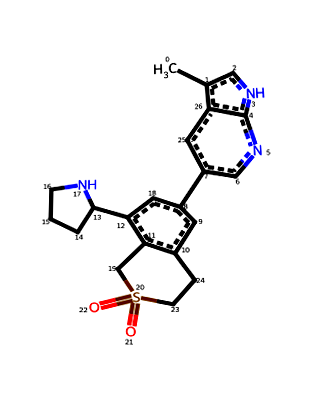 Cc1c[nH]c2ncc(-c3cc4c(c(C5CCCN5)c3)CS(=O)(=O)CC4)cc12